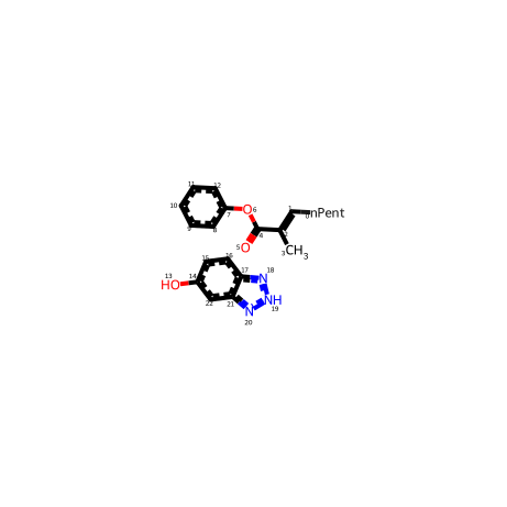 CCCCCC=C(C)C(=O)Oc1ccccc1.Oc1ccc2n[nH]nc2c1